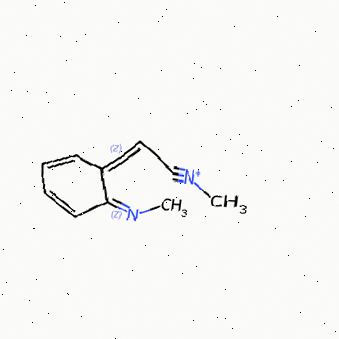 C/N=C1/C=CC=C/C1=C/C#[N+]C